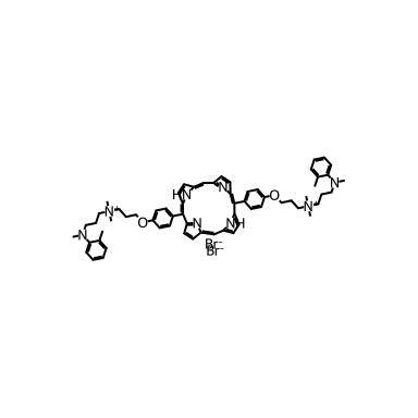 Cc1ccccc1N(C)CCC[N+](C)(C)CCCOc1ccc(-c2c3nc(cc4ccc([nH]4)c(-c4ccc(OCCC[N+](C)(C)CCCN(C)c5ccccc5C)cc4)c4nc(cc5ccc2[nH]5)C=C4)C=C3)cc1.[Br-].[Br-]